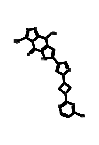 CCCCn1c2cc(-c3cnn(C4CN(c5nccc(C#N)n5)C4)c3)[nH]c2c(=O)n2c(C)nnc12